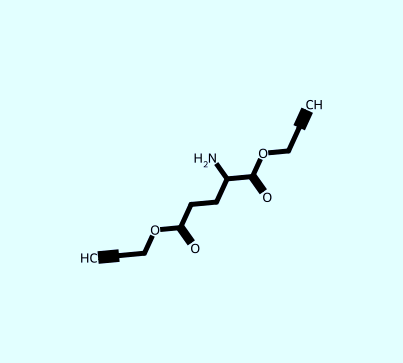 C#CCOC(=O)CCC(N)C(=O)OCC#C